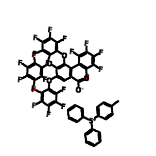 Cc1ccc([S+](c2ccccc2)c2ccccc2)cc1.O=C([O-])c1cc(Oc2c(F)c(F)c(F)c(F)c2F)c(Oc2c(F)c(F)c(F)c(F)c2F)c(Oc2c(F)c(F)c(F)c(F)c2F)c1-c1c(F)c(F)c(F)c(F)c1F